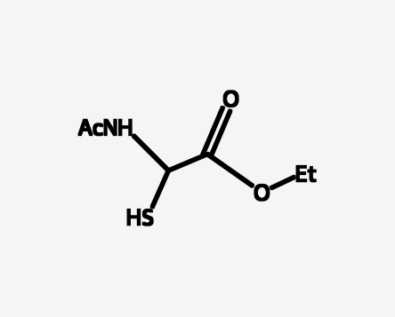 CCOC(=O)C(S)NC(C)=O